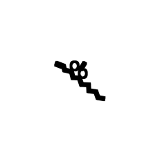 C=CCC(CCCCCCCC)OC(C)=O